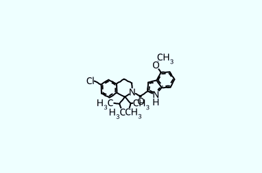 COc1cccc2[nH]c(C(=O)N3CCc4cc(Cl)ccc4C3(C(C)C)C(C)C)cc12